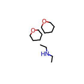 C1CCOCC1.C1CCOCC1.CCNCC